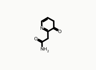 NC(=O)CC1=NC=CCC1=O